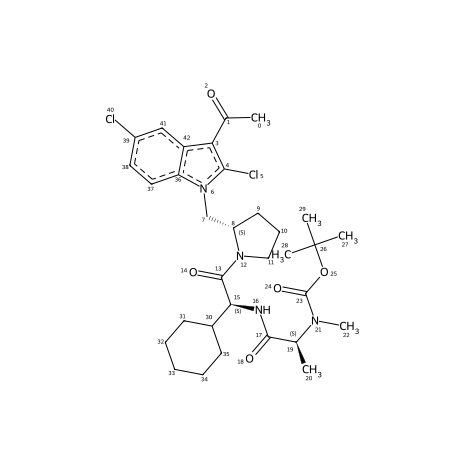 CC(=O)c1c(Cl)n(C[C@@H]2CCCN2C(=O)[C@@H](NC(=O)[C@H](C)N(C)C(=O)OC(C)(C)C)C2CCCCC2)c2ccc(Cl)cc12